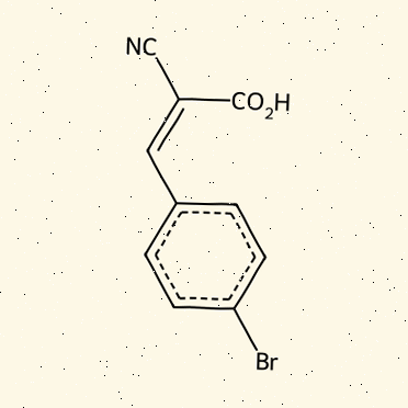 N#CC(=Cc1ccc(Br)cc1)C(=O)O